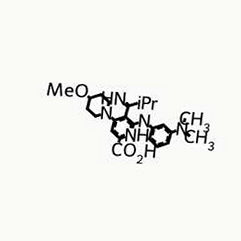 COC1CCN(c2cc(C(=O)O)nc(Nc3cccc(N(C)C)c3)c2C(=N)C(C)C)CC1